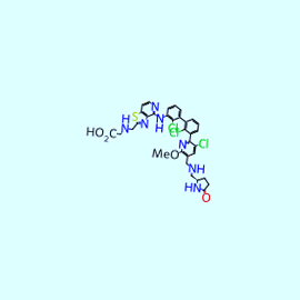 COc1nc(-c2cccc(-c3cccc(Nc4nccc5sc(CNCC(=O)O)nc45)c3Cl)c2Cl)c(Cl)cc1CNC[C@H]1CCC(=O)N1